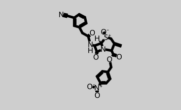 C=C1C[S+]([O-])[C@H]2C(NC(=O)Cc3cccc(C#N)c3)C(=O)N2C1C(=O)OCc1ccc([N+](=O)[O-])cc1